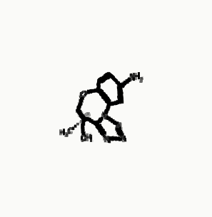 C[C@]1(O)COc2ccc(N)cc2-n2nnnc21